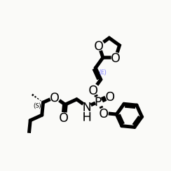 CCC[C@H](C)OC(=O)CNP(=O)(O/C=C/C1OCCO1)Oc1ccccc1